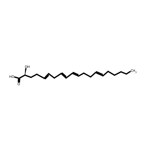 CCCCC/C=C/CC/C=C/C=C/C/C=C/CC[C@H](O)C(=O)O